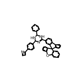 C1=NC(c2ccc(C3N=C(c4ccc5c(c4)C4(c6ccccc6Oc6ccccc64)c4ccccc4-5)NC(c4ccccc4)N3)cc2)=C1